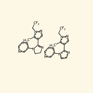 Cc1c(-c2nccn2-c2cccnc2)cnn1CC(F)(F)F.Cc1c(C2=NCCN2c2cccnc2)cnn1CC(F)(F)F